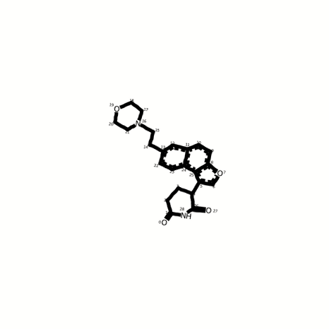 O=C1CCC(c2coc3ccc4cc(CCN5CCOCC5)ccc4c23)C(=O)N1